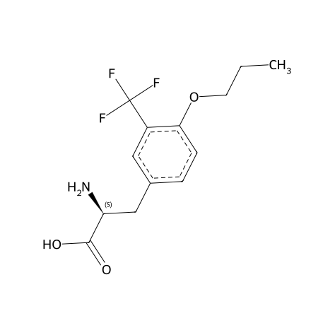 CCCOc1ccc(C[C@H](N)C(=O)O)cc1C(F)(F)F